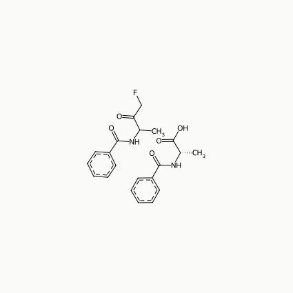 CC(NC(=O)c1ccccc1)C(=O)CF.C[C@H](NC(=O)c1ccccc1)C(=O)O